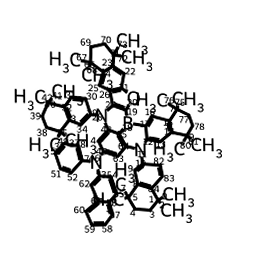 CC1(C)CCC(C)(C)c2cc(N3c4cc5c(cc4B4c6oc7cc8c(cc7c6N(c6ccc7c(c6)C(C)(C)CCC7(C)C)c6cc(N(c7ccccc7)c7ccc9ccccc9c7)cc3c64)C(C)(C)CCC8(C)C)C(C)(C)CCC5(C)C)ccc21